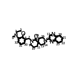 CN1CCOc2c(CN3CCCC4(CCN(c5cnc6ccccc6n5)CC4)C3=O)cccc21